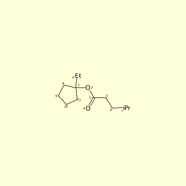 CCC1(OC(=O)CCC(C)C)CCCC1